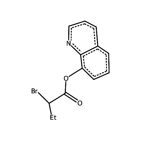 CCC(Br)C(=O)Oc1cccc2cccnc12